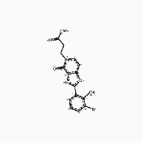 COC(=O)CCn1ccc2oc(-c3cccc(Br)c3C)nc2c1=O